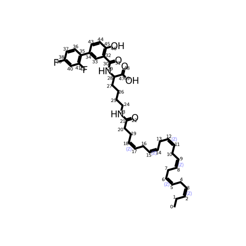 CC/C=C\C/C=C\C/C=C\C/C=C\C/C=C\C/C=C\CCC(=O)NCCCCC(NC(=O)c1cc(-c2ccc(F)cc2F)ccc1O)C(=O)O